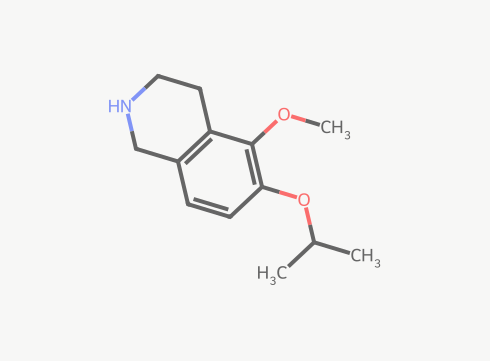 COc1c(OC(C)C)ccc2c1CCNC2